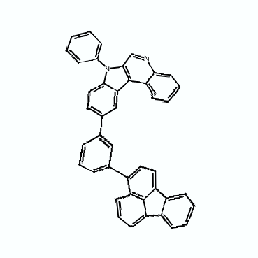 c1ccc(-n2c3ccc(-c4cccc(-c5ccc6c7c(cccc57)-c5ccccc5-6)c4)cc3c3c4ccccc4ncc32)cc1